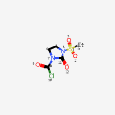 CCS(=O)(=O)N1CCN(C(=O)Cl)C1=O